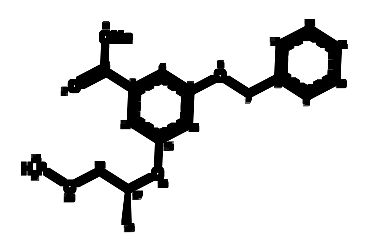 COC(=O)c1cc(OCc2ccccc2)cc(O[C@@H](C)COP)c1